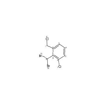 ClCc1cccc(Cl)c1C(Br)Br